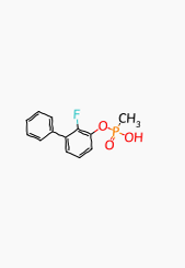 CP(=O)(O)Oc1cccc(-c2ccccc2)c1F